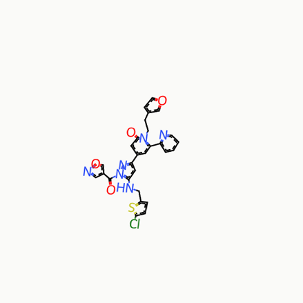 O=C(c1cnoc1)n1nc(-c2cc(-c3ccccn3)n(CCc3ccoc3)c(=O)c2)cc1NCc1ccc(Cl)s1